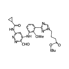 COc1c(Nc2cc(NC(=O)C3CC3)nnc2C=O)cccc1-c1ncn(CCCC(=O)OC(C)(C)C)n1